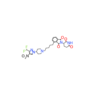 O=C1CCC(N2C(=O)c3cccc(CCCCCN4CCC(n5cc([N+](=O)[O-])c(C(F)F)n5)CC4)c3C2=O)C(=O)N1